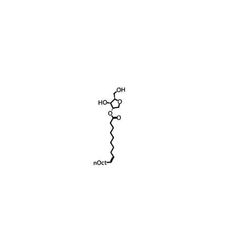 CCCCCCCC/C=C\CCCCCCCC(=O)O[C@H]1CO[C@H](CO)[C@@H]1O